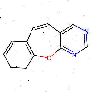 C1=CC2=C(CC1)Oc1ncncc1C=C2